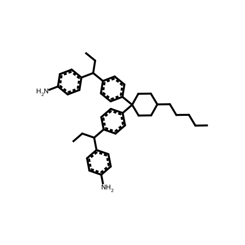 CCCCCC1CCC(c2ccc(C(CC)c3ccc(N)cc3)cc2)(c2ccc(C(CC)c3ccc(N)cc3)cc2)CC1